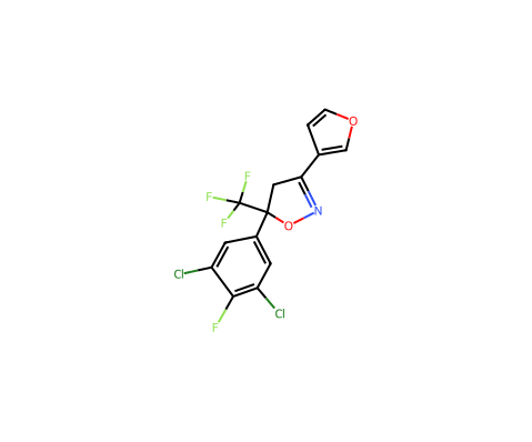 Fc1c(Cl)cc(C2(C(F)(F)F)CC(c3ccoc3)=NO2)cc1Cl